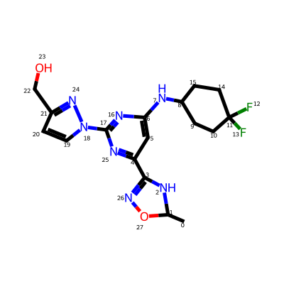 CC1NC(c2cc(NC3CCC(F)(F)CC3)nc(-n3ccc(CO)n3)n2)=NO1